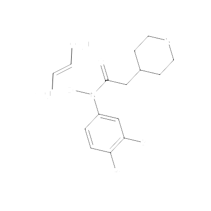 CCN(C(=O)CC1CCNCC1)c1ccc(Br)c(Br)c1.O=C(O)/C=C/C(=O)O